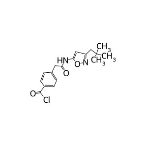 CC(C)(C)Cc1cc(NC(=O)Cc2ccc(C(=O)Cl)cc2)on1